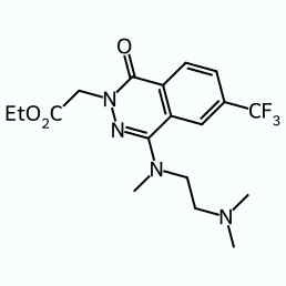 CCOC(=O)Cn1nc(N(C)CCN(C)C)c2cc(C(F)(F)F)ccc2c1=O